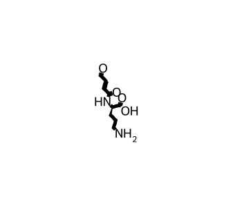 NCCC[C@@H](NC(=O)/C=C/C=O)C(=O)O